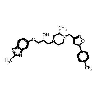 Cc1nc2cc(OC[C@H](O)CN3CCN(CC4=NOC(c5ccc(C(F)(F)F)cc5)C4)[C@@H](C)C3)ccc2s1